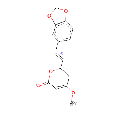 CCCOC1=CC(=O)OC(/C=C/c2ccc3c(c2)OCO3)C1